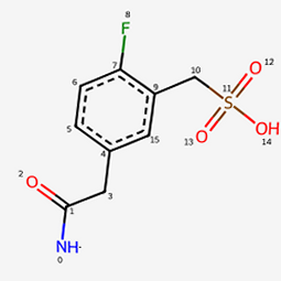 [NH]C(=O)Cc1ccc(F)c(CS(=O)(=O)O)c1